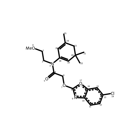 COCCN(C(=O)COc1nc2ccc(Cl)cc2o1)C1=CC(C)(C)CC(C)=C1